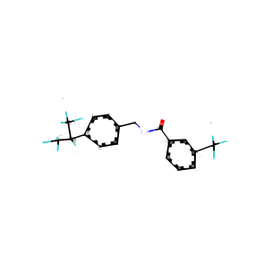 O=C(NCc1ccc(C(F)(C(F)(F)F)C(F)(F)F)cc1)c1cccc(C(F)(F)F)c1